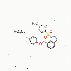 O=C(O)CCc1ccc(OCc2cccc3c2N(S(=O)(=O)c2ccc(C(F)(F)F)cc2)CC3)cc1F